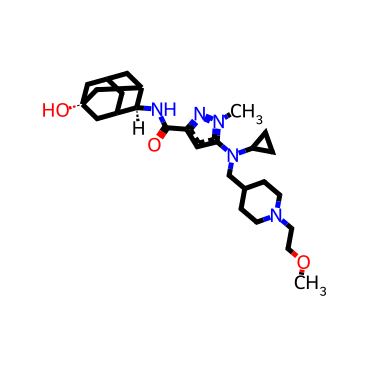 COCCN1CCC(CN(c2cc(C(=O)N[C@H]3C4CC5CC3C[C@](O)(C5)C4)nn2C)C2CC2)CC1